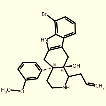 C=CCC1NCC[C@@]2(c3cccc(OC)c3)Cc3[nH]c4c(Br)cccc4c3C[C@]12O